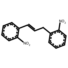 O=[N+]([O-])c1ccccc1[CH]C=Cc1ccccc1[N+](=O)[O-]